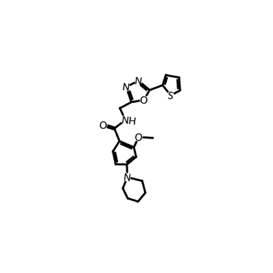 COc1cc(N2CCCCC2)ccc1C(=O)NCc1nnc(-c2cccs2)o1